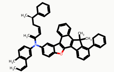 C=C(/C=C\C[C@@H](C)C1=CC=CCC1)N(c1ccc(C)c(/C=C\C)c1)c1ccc2oc3c4c(c5ccccc5c3c2c1)C(C)(C)c1c(C2=CC=CCC2)cccc1-4